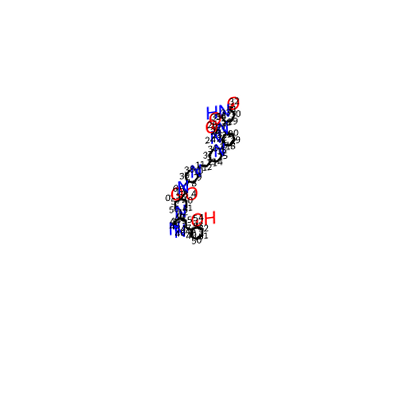 COC1(C(=O)N(C)C2CCN(CCC3CCN(c4cccc5c4n(C)c(=O)n5[C@@H]4CCC(=O)NC4=O)CC3)CC2)CCN(c2cnnc(-c3ccccc3O)c2)CC1